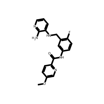 COc1ccc(C(=O)Nc2ccc(F)c(CNc3cccnc3N)c2)nc1